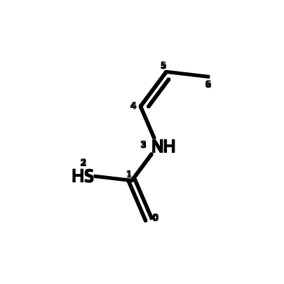 C=C(S)N/C=C\C